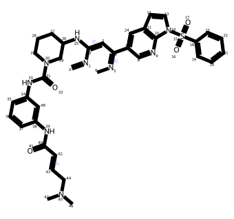 C=N/C(=C\C(=N/C)c1cnc2c(ccn2S(=O)(=O)c2ccccc2)c1)NC1CCCN(C(=O)Nc2cccc(NC(=O)/C=C/CN(C)C)c2)C1